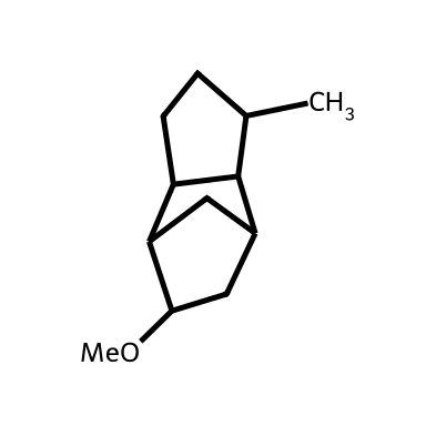 COC1CC2CC1C1CCC(C)C21